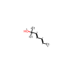 C[CH]C=CC=CC(O)(CC)CC